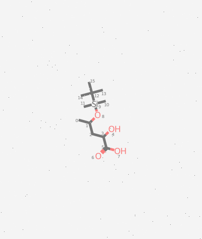 CC(CC(O)C(=O)O)O[Si](C)(C)C(C)(C)C